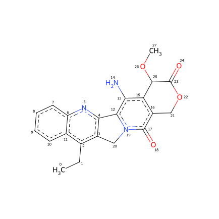 CCc1c2c(nc3ccccc13)-c1c(N)c3c(c(=O)n1C2)COC(=O)C3OC